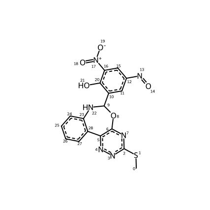 CSc1nnc2c(n1)OC(c1cc(N=O)cc([N+](=O)[O-])c1O)Nc1ccccc1-2